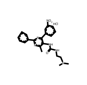 Cc1nc(-c2ccccc2)nc(-c2cccc([N+](=O)[O-])c2)c1NC(=O)NCCN(C)C.Cl